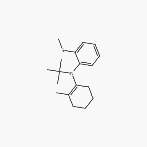 CSc1ccccc1N(C1=C(C)CCCC1)C(C)(C)C